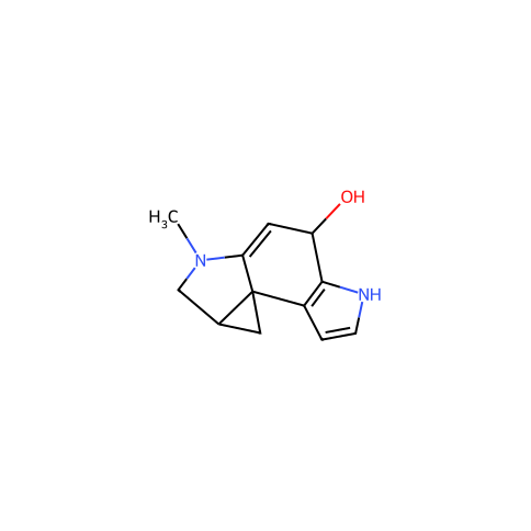 CN1CC2CC23C1=CC(O)c1[nH]ccc13